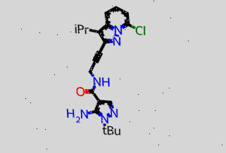 CC(C)c1c(C#CCNC(=O)c2cnn(C(C)(C)C)c2N)nn2c(Cl)cccc12